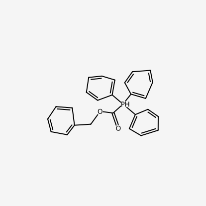 O=C(OCc1ccccc1)[PH](c1ccccc1)(c1ccccc1)c1ccccc1